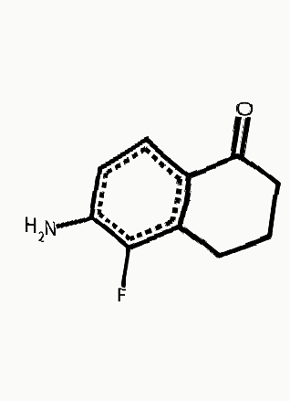 Nc1ccc2c(c1F)CCCC2=O